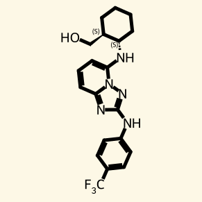 OC[C@H]1CCCC[C@@H]1Nc1cccc2nc(Nc3ccc(C(F)(F)F)cc3)nn12